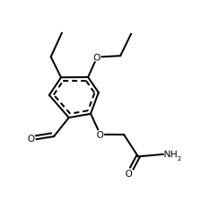 CCOc1cc(OCC(N)=O)c(C=O)cc1CC